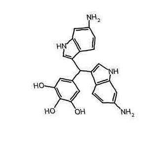 Nc1ccc2c(C(c3cc(O)c(O)c(O)c3)c3c[nH]c4cc(N)ccc34)c[nH]c2c1